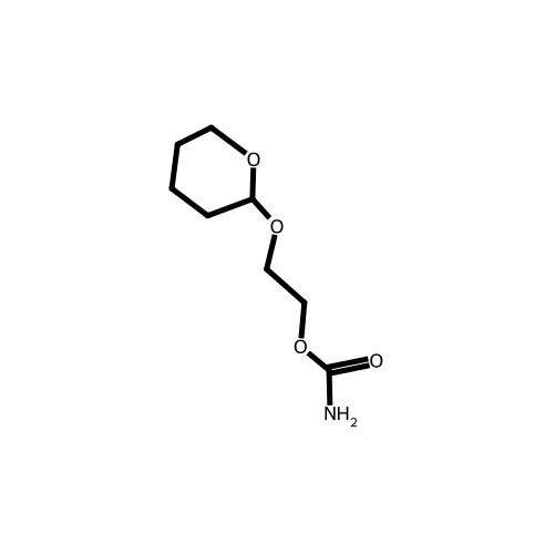 NC(=O)OCCOC1CCCCO1